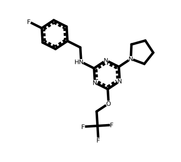 Fc1ccc(CNc2nc(OCC(F)(F)F)nc(N3CCCC3)n2)cc1